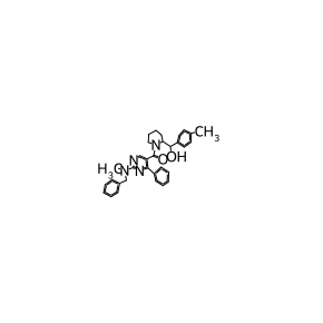 Cc1ccc(C(O)C2CCCCN2C(=O)c2cnc(N(C)Cc3ccccc3)nc2-c2ccccc2)cc1